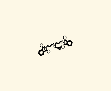 O=C1c2ccccc2C(=O)N1CCCN(CCCN1C(=O)c2ccccc2C1=O)CC1CC1